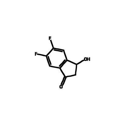 O=C1CC(O)c2cc(F)c(F)cc21